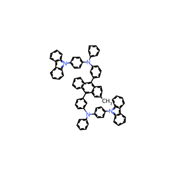 Cc1ccc2c(-c3cccc(N(c4ccccc4)c4ccc(-n5c6ccccc6c6ccccc65)cc4)c3)c3ccccc3c(-c3cccc(N(c4ccccc4)c4ccc(-n5c6ccccc6c6ccccc65)cc4)c3)c2c1